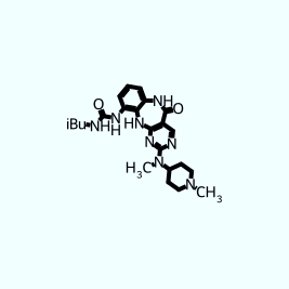 CCC(C)NC(=O)Nc1cccc2c1Nc1nc(N(C)C3CCN(C)CC3)ncc1C(=O)N2